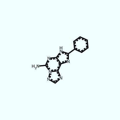 Nc1nc2[nH]c(-c3ccccc3)nc2c2ncnn12